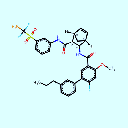 CCCc1cccc(-c2cc(C(=O)N[C@H]3[C@@H](C(=O)Nc4cccc(S(=O)(=O)C(F)(F)P)c4)[C@@H]4C=C[C@H]3C4)c(OC)cc2F)c1